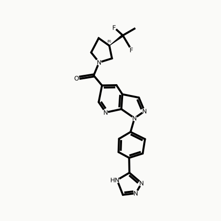 CC(F)(F)[C@@H]1CCN(C(=O)c2cnc3c(cnn3-c3ccc(-c4nnc[nH]4)cc3)c2)C1